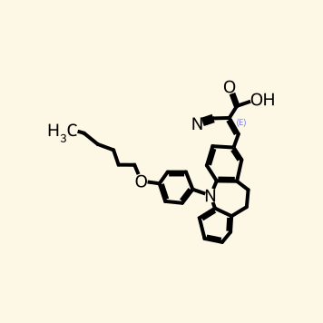 CCCCCCOc1ccc(N2c3ccccc3CCc3cc(/C=C(\C#N)C(=O)O)ccc32)cc1